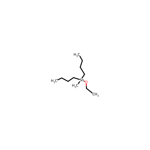 CCC[CH2][Sn]([CH3])([CH2]CCC)[O]CC